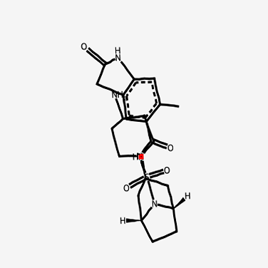 Cc1cc2c(cc1C(=O)N[C@@H]1C[C@H]3CC[C@@H](C1)N3S(=O)(=O)N1CCC(N)CC1)CC(=O)N2